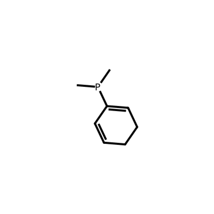 CP(C)C1=CCCC=C1